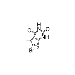 Cc1c(Br)sc2[nH]c(=O)[nH]c(=O)c12